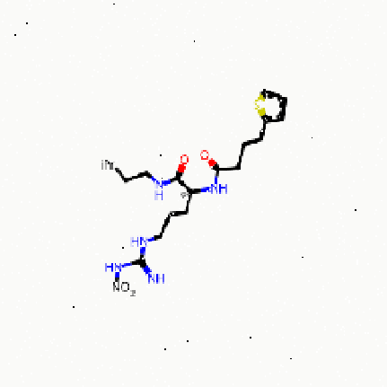 CC(C)CCNC(=O)[C@H](CCCNC(=N)N[N+](=O)[O-])NC(=O)CCCc1cccs1